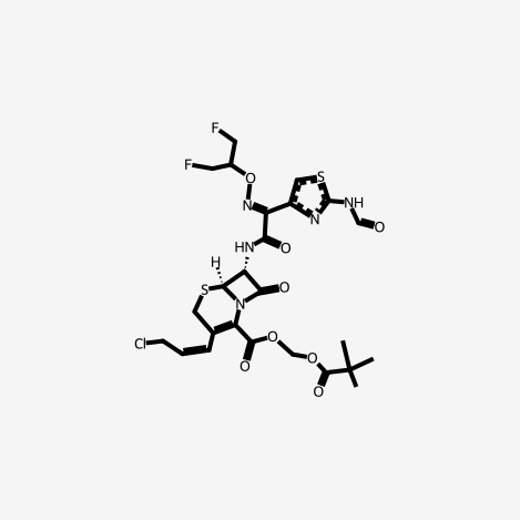 CC(C)(C)C(=O)OCOC(=O)C1=C(/C=C\CCl)CS[C@H]2[C@H](NC(=O)C(=NOC(CF)CF)c3csc(NC=O)n3)C(=O)N12